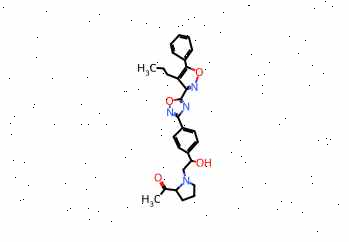 CCCc1c(-c2nc(-c3ccc(C(O)CN4CCCC4C(C)=O)cc3)no2)noc1-c1ccccc1